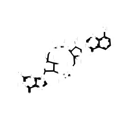 Nc1nc2c(ncn2C2O[C@@H]3COP(=O)(S)O[C@H]4[C@@H](O)[C@H](n5cnc6c(N)cccc6c5=O)O[C@@H]4COP(=O)(S)O[C@@H]2[C@@H]3O)c(=O)[nH]1